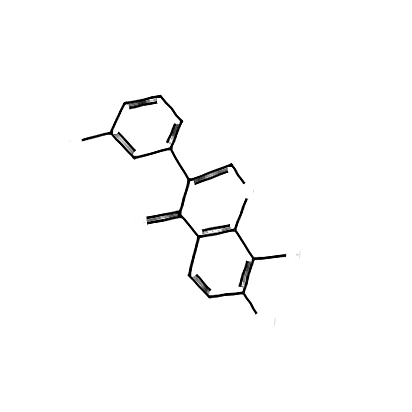 O=c1c(-c2cccc(Cl)c2)coc2c(O)c(O)ccc12